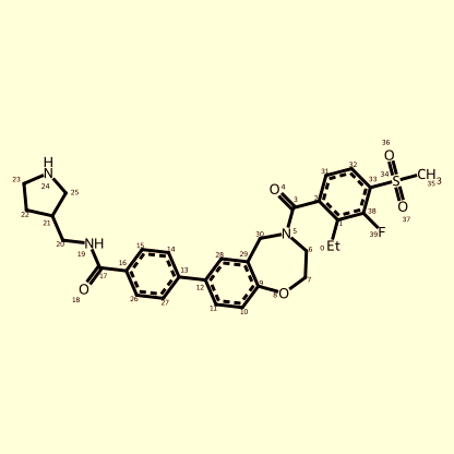 CCc1c(C(=O)N2CCOc3ccc(-c4ccc(C(=O)NCC5CCNC5)cc4)cc3C2)ccc(S(C)(=O)=O)c1F